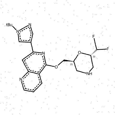 CC(C)(C)n1cc(-c2cc3ncccc3c(OC[C@@H]3CNC[C@@H](C(F)F)O3)n2)cn1